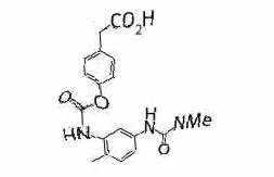 CNC(=O)Nc1ccc(C)c(NC(=O)Oc2ccc(CC(=O)O)cc2)c1